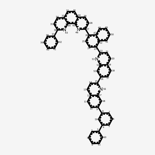 c1ccc(-c2cccc(-c3ccc4ccc(-c5ccc6ccc(-c7ccc(-c8ccc9ccc%10ccc(-c%11ccccc%11)nc%10c9n8)c8ccccc78)nc6c5)nc4c3)c2)cc1